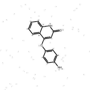 Nc1ccc(Oc2cc(=O)[nH]c3ccccc23)cc1